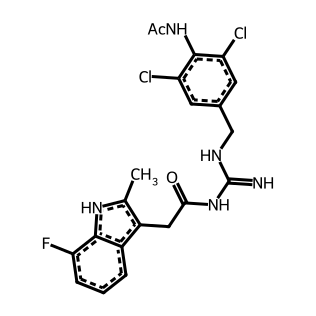 CC(=O)Nc1c(Cl)cc(CNC(=N)NC(=O)Cc2c(C)[nH]c3c(F)cccc23)cc1Cl